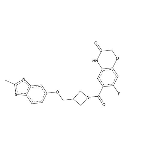 Cc1nc2cc(OCC3CN(C(=O)c4cc5c(cc4F)OCC(=O)N5)C3)ccc2s1